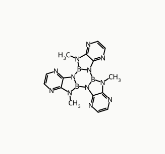 CN1B2N(B3N(C)c4nccnc4N3B3N(C)c4nccnc4N23)c2nccnc21